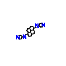 C(=N\c1ccncc1)/c1ccc2ccc3c(/C=N/c4ccncc4)ccc4ccc1c2c43